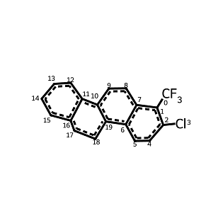 FC(F)(F)c1c(Cl)ccc2c1ccc1c3ccccc3ccc21